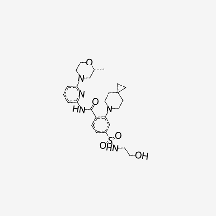 C[C@@H]1CN(c2cccc(NC(=O)c3ccc(S(=O)(=O)NCCO)cc3N3CCC4(CC3)CC4)n2)CCO1